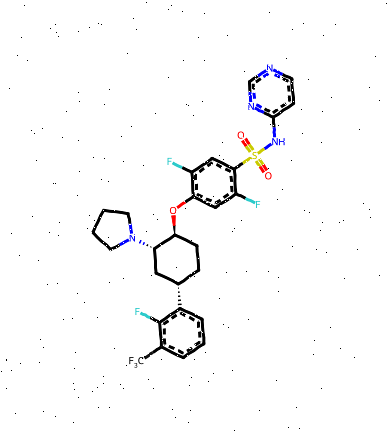 O=S(=O)(Nc1ccncn1)c1cc(F)c(O[C@H]2CC[C@H](c3cccc(C(F)(F)F)c3F)C[C@@H]2N2CCCC2)cc1F